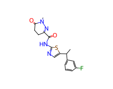 CC(c1cccc(F)c1)c1cnc(NC(=O)C2=NN(C)C(=O)CC2)s1